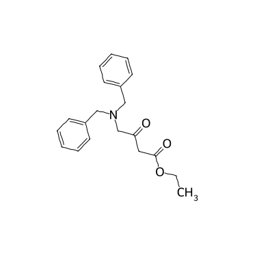 CCOC(=O)CC(=O)CN(Cc1ccccc1)Cc1ccccc1